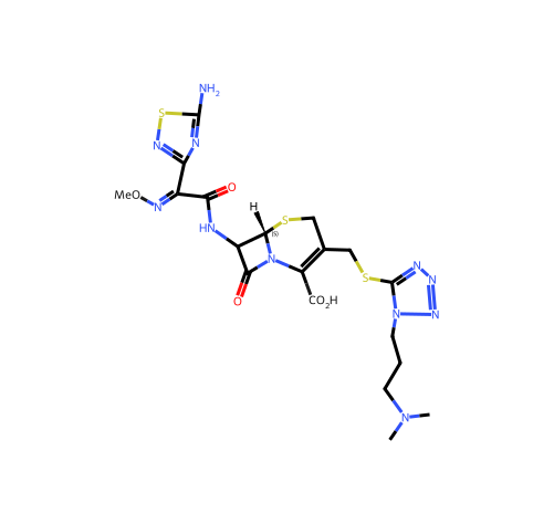 CON=C(C(=O)NC1C(=O)N2C(C(=O)O)=C(CSc3nnnn3CCCN(C)C)CS[C@@H]12)c1nsc(N)n1